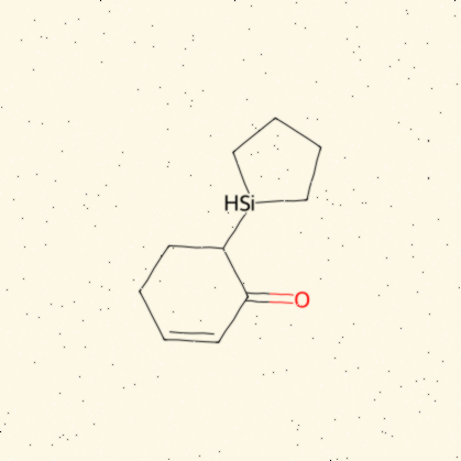 O=C1C=CCCC1[SiH]1CCCC1